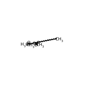 CCCCCCCC/C=C/CCCCCCCCOCC(COCCCCC(=O)OC)N(C)C